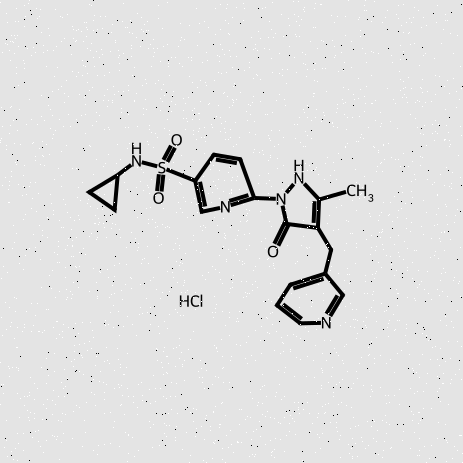 Cc1[nH]n(-c2ccc(S(=O)(=O)NC3CC3)cn2)c(=O)c1Cc1cccnc1.Cl